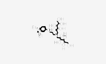 CCn1c[n+](CC)c2cc(OCCCN(C[C@H](O)[C@@H](O)[C@H](O)[C@H](O)CO)C[C@H](O)[C@@H](O)[C@H](O)[C@H](O)CO)ccc21